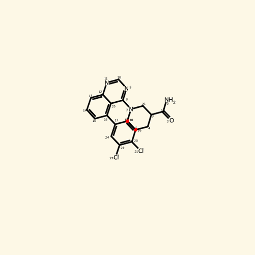 NC(=O)C1CCCN(c2ncnc3cccc(-c4ccc(Cl)c(Cl)c4)c23)C1